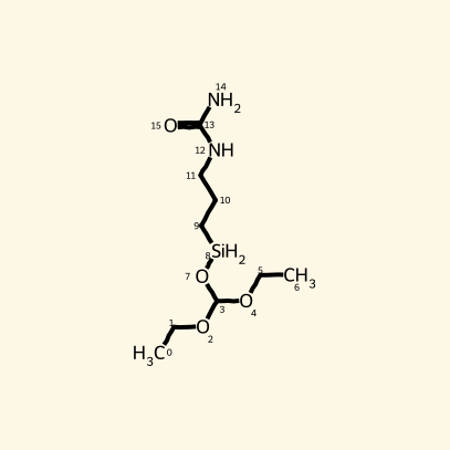 CCOC(OCC)O[SiH2]CCCNC(N)=O